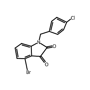 O=C1C(=O)N(Cc2ccc(Cl)cc2)c2cccc(Br)c21